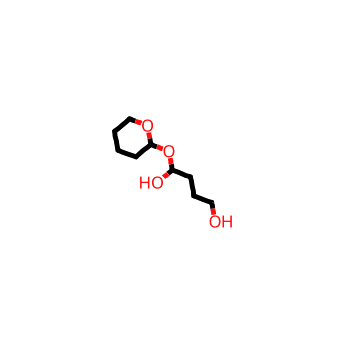 OCCCC(O)OC1CCCCO1